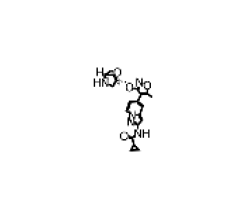 Cc1onc(OC[C@@]23CN[C@@H](CO2)C3)c1-c1ccn2nc(NC(=O)C3CC3)cc2c1